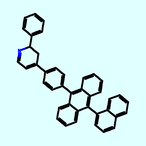 C1=NC(c2ccccc2)CC(c2ccc(-c3c4ccccc4c(-c4cccc5ccccc45)c4ccccc34)cc2)=C1